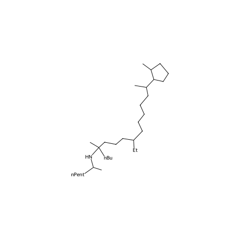 CCCCCC(C)NC(C)(CCCC)CCCC(CC)CCCCCC(C)C1CCCC1C